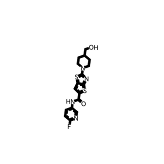 O=C(Nc1ccc(F)nc1)c1cc2sc(N3CCC(CO)CC3)nc2s1